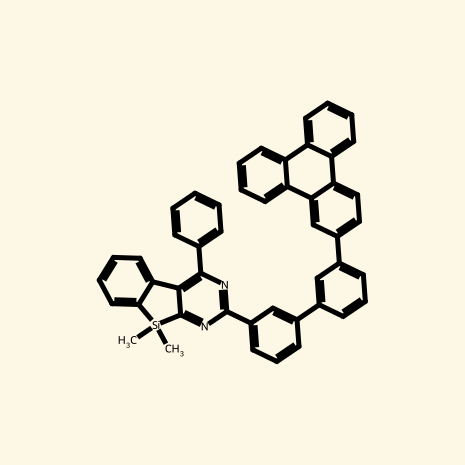 C[Si]1(C)c2ccccc2-c2c(-c3ccccc3)nc(-c3cccc(-c4cccc(-c5ccc6c7ccccc7c7ccccc7c6c5)c4)c3)nc21